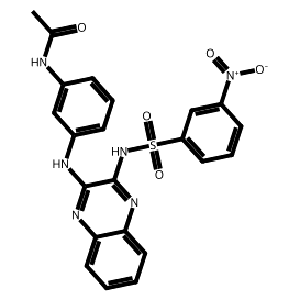 CC(=O)Nc1cccc(Nc2nc3ccccc3nc2NS(=O)(=O)c2cccc([N+](=O)[O-])c2)c1